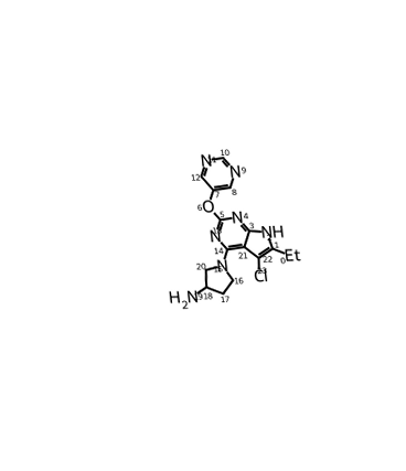 CCc1[nH]c2nc(Oc3cncnc3)nc(N3CCC(N)C3)c2c1Cl